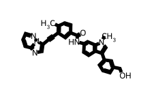 Cc1ccc(C(=O)Nc2ccc3c(-c4cccc(CO)c4)cn(C)c3c2)cc1C#Cc1cnc2cccnn12